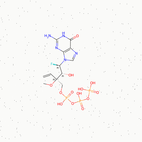 C=C[C@](COP(=O)(O)OP(=O)(O)OP(=O)(O)O)(OC)[C@@H](O)[C@@H](F)n1cnc2c(=O)[nH]c(N)nc21